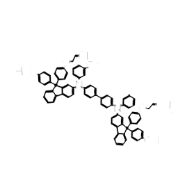 C=CCOc1ccc(C2(c3ccc(C)cc3)c3ccccc3-c3ccc(N(c4ccc(-c5ccc(N(c6cccc(F)c6)c6ccc7c(c6)C(c6ccc(C)cc6)(c6ccc(OCC=C)cc6)c6ccccc6-7)cc5)cc4)c4cccc(F)c4)cc32)cc1